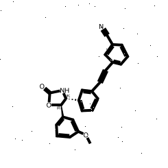 COc1cccc([C@H]2OC(=O)N[C@@H]2c2cccc(C#Cc3cccc(C#N)c3)c2)c1